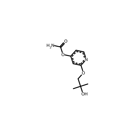 CC(C)(O)COc1cc(OC(N)=O)ccn1